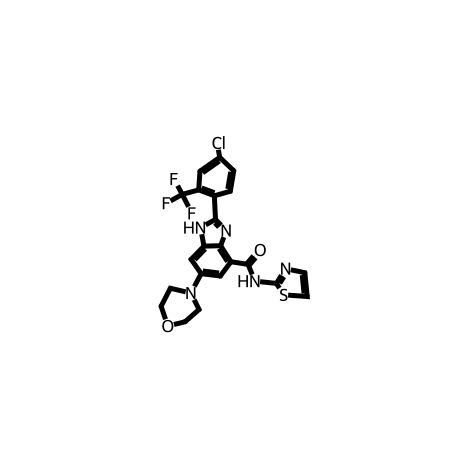 O=C(Nc1nccs1)c1cc(N2CCOCC2)cc2[nH]c(-c3ccc(Cl)cc3C(F)(F)F)nc12